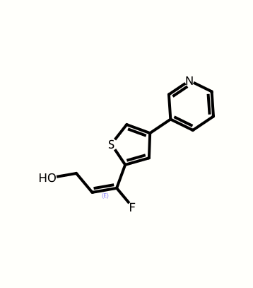 OC/C=C(/F)c1cc(-c2cccnc2)cs1